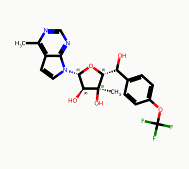 Cc1ncnc2c1ccn2[C@@H]1O[C@H](C(O)c2ccc(OC(F)(F)F)cc2)[C@@](C)(O)[C@H]1O